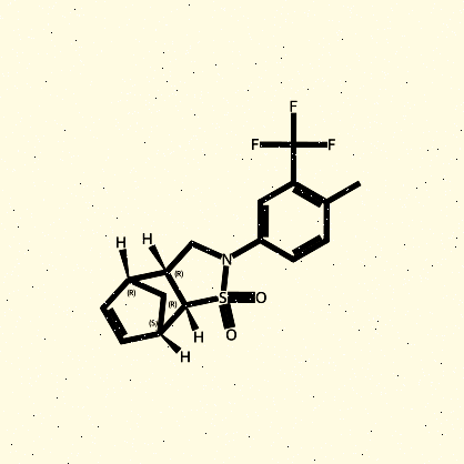 Cc1ccc(N2C[C@@H]3[C@@H]([C@@H]4C=C[C@H]3C4)S2(=O)=O)cc1C(F)(F)F